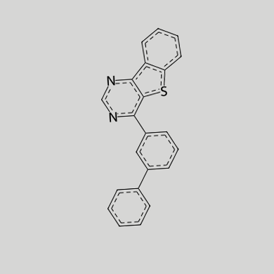 c1ccc(-c2cccc(-c3ncnc4c3sc3ccccc34)c2)cc1